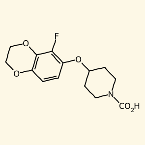 O=C(O)N1CCC(Oc2ccc3c(c2F)OCCO3)CC1